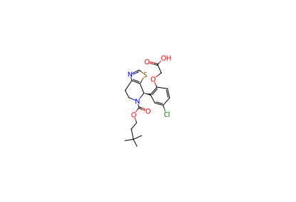 CC(C)(C)CCOC(=O)N1CCc2ncsc2[C@H]1c1cc(Cl)ccc1OCC(=O)O